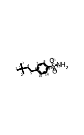 CC(C)(C)CCc1ccc(S(N)(=O)=O)cc1